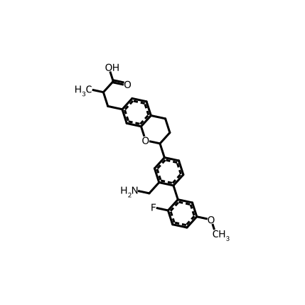 COc1ccc(F)c(-c2ccc(C3CCc4ccc(CC(C)C(=O)O)cc4O3)cc2CN)c1